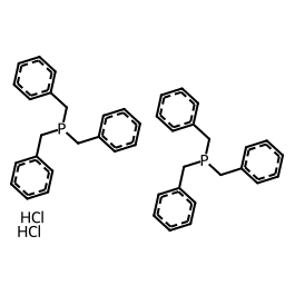 Cl.Cl.c1ccc(CP(Cc2ccccc2)Cc2ccccc2)cc1.c1ccc(CP(Cc2ccccc2)Cc2ccccc2)cc1